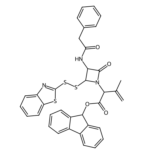 C=C(C)C(C(=O)OC1c2ccccc2-c2ccccc21)N1C(=O)C(NC(=O)Cc2ccccc2)C1SSc1nc2ccccc2s1